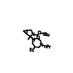 CCCN1CCN(C2(C)C3CC3CN2C(=O)OC(C)(C)C)CC(CC)C1